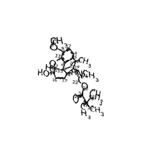 CCC[C@]12c3c4ccc(OC)c3O[C@H]1[C@@H](O)C=C[C@H]2C(N(C)COC(=O)C(C)(C)C)C4